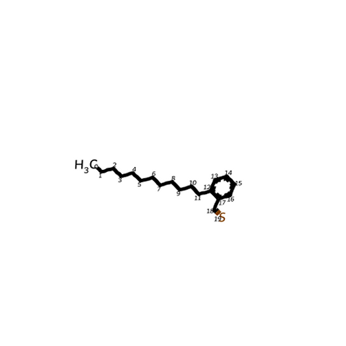 CCCCCCCCCCCCc1ccccc1C=S